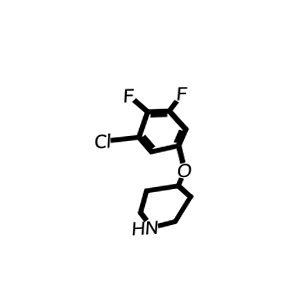 Fc1cc(OC2CCNCC2)cc(Cl)c1F